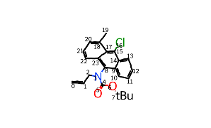 C=CCN(C(=O)OC(C)(C)C)c1c2ccccc2c(Cl)c2c(C)cccc12